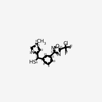 Cn1cnc(C(S)c2cccc(-c3noc(C(F)(F)Cl)n3)c2)c1